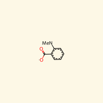 CNc1ccccc1C([O])=O